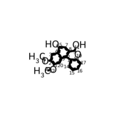 COc1cc2c(O)cc(C(=O)O)c(-c3ccccc3)c2cc1OC